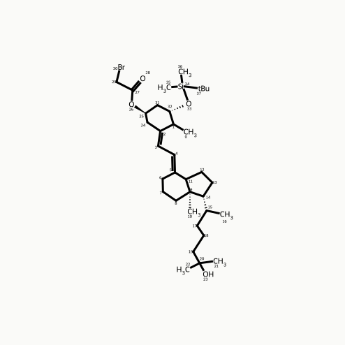 CC1/C(=C\C=C2/CCC[C@@]3(C)C2CC[C@@H]3C(C)CCCC(C)(C)O)C[C@@H](OC(=O)CBr)C[C@@H]1O[Si](C)(C)C(C)(C)C